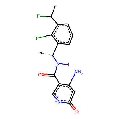 CC(F)c1cccc([C@@H](C)N(I)C(=O)c2c[nH]c(=O)cc2N)c1F